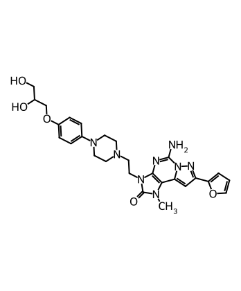 Cn1c(=O)n(CCN2CCN(c3ccc(OCC(O)CO)cc3)CC2)c2nc(N)n3nc(-c4ccco4)cc3c21